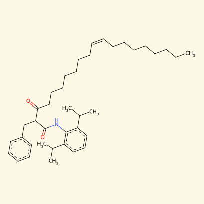 CCCCCCCC/C=C\CCCCCCCC(=O)C(Cc1ccccc1)C(=O)Nc1c(C(C)C)cccc1C(C)C